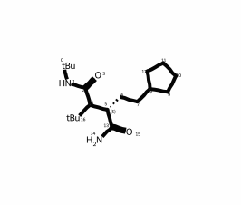 CC(C)(C)NC(=O)C([C@H](CCC1CCCC1)C(N)=O)C(C)(C)C